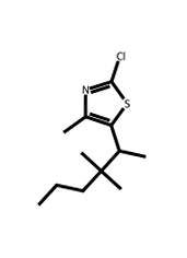 CCCC(C)(C)C(C)c1sc(Cl)nc1C